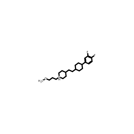 COCCC[SiH]1CCC(CCC2CCC(c3ccc(F)c(F)c3)CC2)CC1